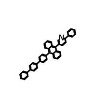 c1ccc(-c2ccc(-c3ccc(-c4c5ccccc5c(-c5ccc(-c6ccccc6)nc5)c5ccccc45)cc3)cc2)cc1